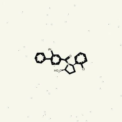 CC(C)c1cc(C(=O)N2[C@@H](c3ccccc3Cl)CC[C@H]2C(=O)O)ccc1-c1ccccc1